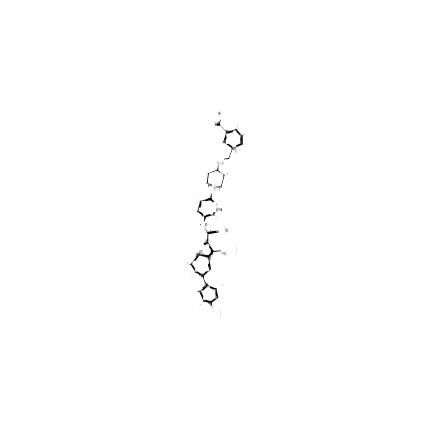 COC(=O)c1cccc(COC2CCN(c3ccc(NC(=O)c4oc5ccc(-c6ccc(C)cc6)cc5c4C)cn3)CC2)c1